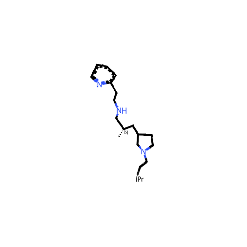 CC(C)CCN1CCC(C[C@H](C)CNCCc2ccccn2)C1